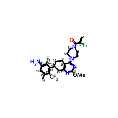 C=C(F)C(=O)N1CCN(c2nc(OC)nc3c2CCC(c2c(F)c(N)cc(C)c2C(F)(F)F)C3)CC1